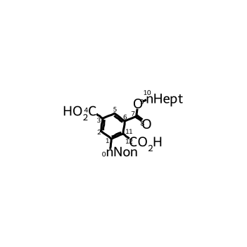 CCCCCCCCCc1cc(C(=O)O)cc(C(=O)OCCCCCCC)c1C(=O)O